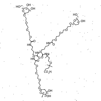 C[C@H]1O[C@@H](OCCOCCOCCOCC(=O)N[C@@H](CCCCNC(=O)COCCOCCOCCO[C@H]2C[C@@H](O)[C@@H](O)[C@@H](CO)O2)C(=O)N[C@@H](CCCCNC(=O)COCCOCCOCCO[C@H]2CC[C@@H](O)[C@@H](CO)O2)C(=O)NC(C)(C)CCOC(C)(C)CCC(=O)O)C[C@@H](O)[C@H]1O